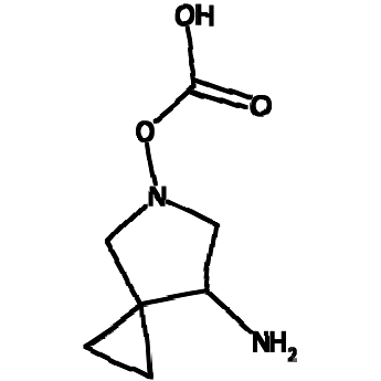 NC1CN(OC(=O)O)CC12CC2